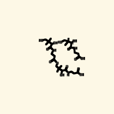 CC(C)(CO)C(O)C(=O)NCCC(=O)OCC(C)(C)C(O)C(=O)NCCC(=O)O.CC(C)(CO)[C@@H](O)C(=O)NCCC(=O)O